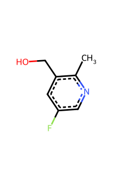 Cc1ncc(F)cc1CO